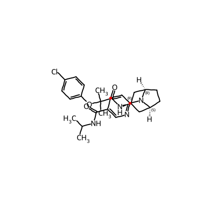 CC(C)NC(=O)c1ccc(N2[C@@H]3CC[C@H]2C[C@@H](NC(=O)C(C)(C)Oc2ccc(Cl)cc2)C3)nc1